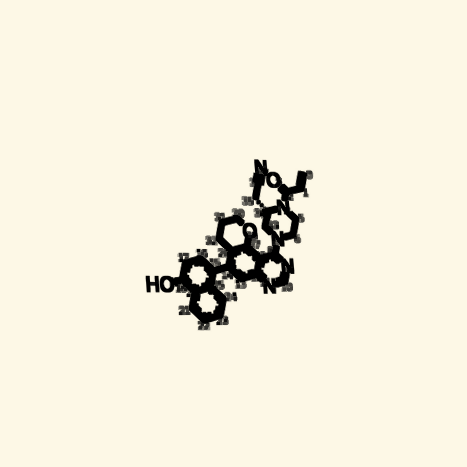 C=CC(=O)N1CCN(c2ncnc3cc(-c4ccc(O)c5ccccc45)c4c(c23)OCCC4)C[C@@H]1CC#N